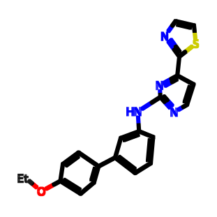 CCOc1ccc(-c2cccc(Nc3nccc(-c4nccs4)n3)c2)cc1